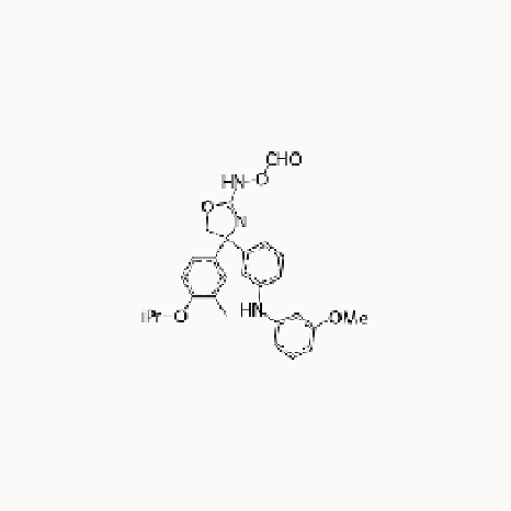 COc1cccc(Nc2cccc(C3(c4ccc(OC(C)C)c(C)c4)COC(NOC=O)=N3)c2)c1